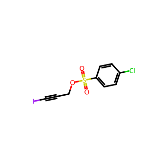 O=S(=O)(OCC#CI)c1ccc(Cl)cc1